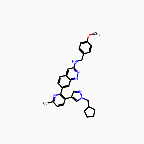 COc1ccc(CNc2cc3ccc(-c4nc(C)ccc4-c4cnn(CC5CCCC5)c4)cc3nn2)cc1